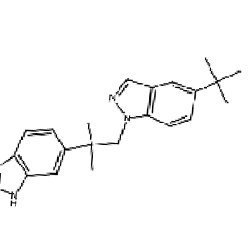 CC(C)(C)c1ccc2c(cnn2CC(C)(C)c2ccc3nn[nH]c3c2)c1